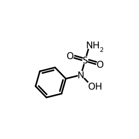 NS(=O)(=O)N(O)c1ccccc1